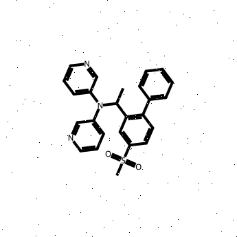 CC(c1cc(S(C)(=O)=O)ccc1-c1ccccc1)N(c1cccnc1)c1cccnc1